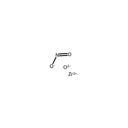 O=N[O-].[O-2].[Zr+3]